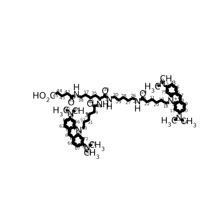 CN(C)c1ccc2cc3ccc(N(C)C)cc3[n+](CCCCCC(=O)NCCCCCNC(=O)C(CCCCNC(=O)CCCC(=O)O)NC(=O)CCCCC[n+]3c4cc(N(C)C)ccc4cc4ccc(N(C)C)cc43)c2c1